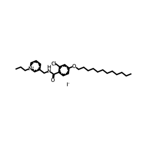 CCCCCCCCCCCCOc1ccc(C(=O)NCc2ccc[n+](CCC)c2)c(Cl)c1.[I-]